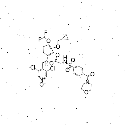 O=C(CNS(=O)(=O)c1ccc(C(=O)N2CCOCC2)cc1)O[C@@H](Cc1c(Cl)c[n+]([O-])cc1Cl)c1ccc(OC(F)F)c(OCC2CC2)c1